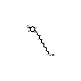 [CH2]CCCCCCCCCCCCCCCCCCCOC1CCC([O])CC1